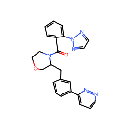 O=C(c1ccccc1-n1nccn1)N1CCOCC1Cc1cccc(-c2cccnn2)c1